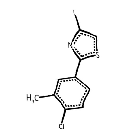 Cc1cc(-c2nc(I)cs2)ccc1Cl